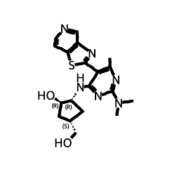 Cc1nc(N(C)C)nc(N[C@@H]2C[C@H](CO)C[C@H]2O)c1-c1nc2cnccc2s1